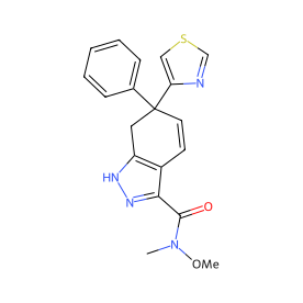 CON(C)C(=O)c1n[nH]c2c1C=CC(c1ccccc1)(c1cscn1)C2